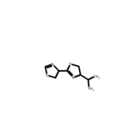 CC(C)C1COC(C2COC=N2)=N1